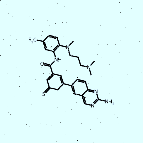 CN(C)CCCN(C)c1ccc(C(F)(F)F)cc1NC(=O)C1=CC(=S)CC(c2ccc3nc(N)ncc3c2)=C1